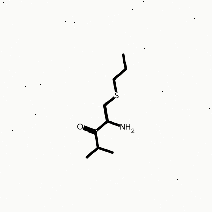 CCCSCC(N)C(=O)C(C)C